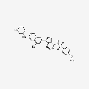 CCc1cc(-c2ccc3c(NS(=O)(=O)c4ccc(OC(F)(F)F)cc4)ncnn23)cc2cnc(NC3CCCNC3)nc12